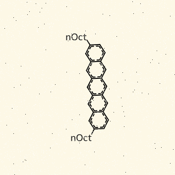 CCCCCCCCc1ccc2cc3cc4cc5ccc(CCCCCCCC)cc5cc4cc3cc2c1